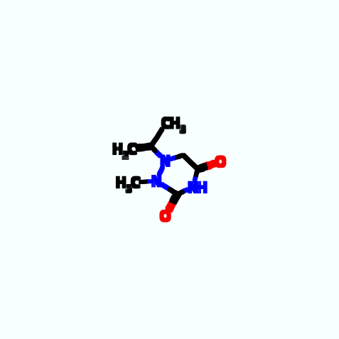 C=C(C)N1CC(=O)NC(=O)N1C